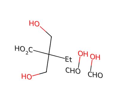 CCC(CO)(CO)C(=O)O.O=CO.O=CO